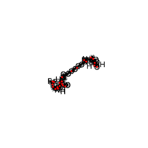 O=C1CCC(N2C(=O)c3cccc(NCc4cn(CCOCCOCCOCCOCCOCCC(=O)N5CCN(c6ccc(C(=O)Nc7n[nH]c8ccc(Cc9cc(F)cc(F)c9)cc78)c(NC7CCOCC7)c6)CC5)nn4)c3C2=O)C(=O)N1